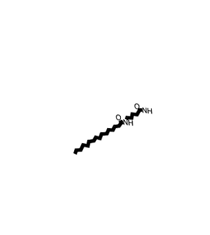 CCCCCCCCCCCCCCCC(=O)NCCCCC(=O)NC